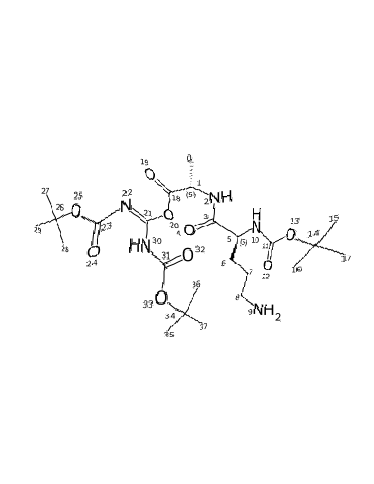 C[C@H](NC(=O)[C@H](CCCN)NC(=O)OC(C)(C)C)C(=O)OC(=NC(=O)OC(C)(C)C)NC(=O)OC(C)(C)C